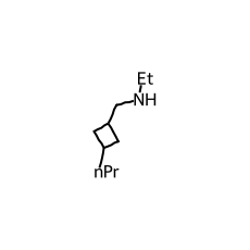 CCCC1CC(CNCC)C1